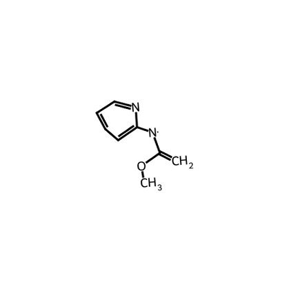 C=C([N]c1ccccn1)OC